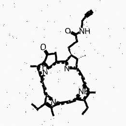 C#CCNC(=O)CC[C@@H]1c2nc(cc3[nH]c(cc4nc(cc5[nH]c6c2CC(=O)c6c5C)C(CC)=C4C)c(CC)c3C)[C@H]1C